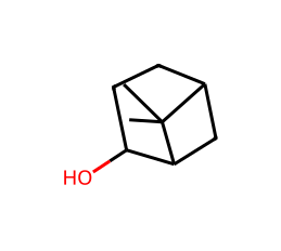 CC1(C)C2CCC(O)C1C2